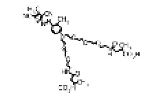 Cc1cc(N(CCOCCOCCNC(=O)CC(C)C(=O)O)CCOCCOCCOCCNC(=O)CC(C)C(=O)O)ccc1/N=N/c1sc(C#N)c(C)c1C#N